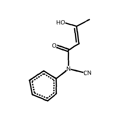 CC(O)=CC(=O)N(C#N)c1ccccc1